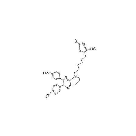 Cc1ccc(-c2nc3c(nc2-c2ccc(Cl)cc2)CCCN3CCCCCCC2SC(=O)N=C2O)cc1